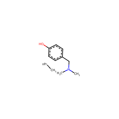 CCCC.CN(C)Cc1ccc(O)cc1